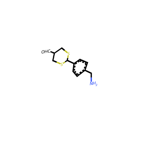 NCc1ccc(C2SCC(C=O)CS2)cc1